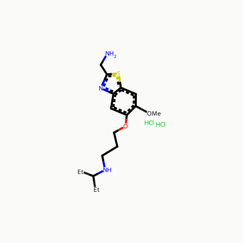 CCC(CC)NCCCOc1cc2nc(CN)sc2cc1OC.Cl.Cl